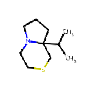 CC(C)C12CCCN1CCSC2